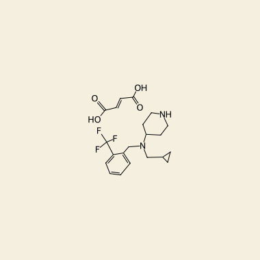 FC(F)(F)c1ccccc1CN(CC1CC1)C1CCNCC1.O=C(O)C=CC(=O)O